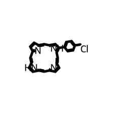 ClCc1ccc(-c2cc3cc4nc(cc5ccc(cc6nc(cc2[nH]3)C=C6)[nH]5)C=C4)cc1